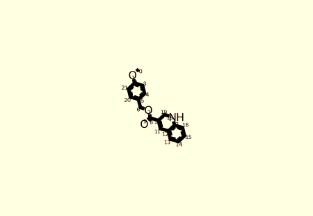 COc1ccc(COC(=O)C2=Cc3ccccc3NC2)cc1